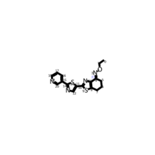 CCO/N=C1\CCCc2sc(-c3cnc(-c4cccnc4)s3)nc21